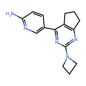 Nc1ccc(-c2nc(N3CCC3)nc3c2CCC3)cn1